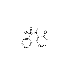 COC1=C(C(=O)Cl)N(C)S(=O)(=O)c2ccccc21